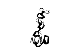 COC(=O)C1CCC(Oc2cc(-c3ccc4nc5n(c4n3)C(c3ccccc3)CC5)ccn2)CC1